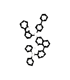 c1ccc(-c2ccc(N(c3cc4c5c(cccc5c3)-c3cccc(N(c5ccccc5)c5ccccc5)c3O4)c3cccc4c3oc3ccccc34)cc2)cc1